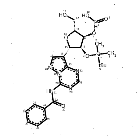 CC(C)(C)[Si](C)(C)O[C@@H]1[C@H](O[PH](=O)O)[C@@H](CO)O[C@H]1c1cnn2c(NC(=O)c3ccccc3)ncnc12